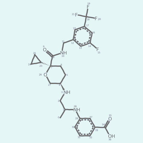 CC(CN[C@@H]1CC[C@@](C(=O)NCc2cc(F)cc(C(F)(F)F)c2)(C2CC2)OC1)Nc1cccc(C(=O)O)c1